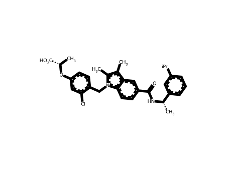 Cc1c(C)n(Cc2ccc(O[C@@H](C)C(=O)O)cc2Cl)c2ccc(C(=O)N[C@@H](C)c3cccc(C(C)C)c3)cc12